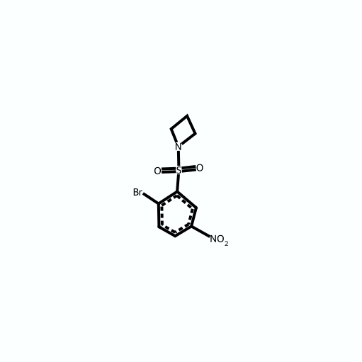 O=[N+]([O-])c1ccc(Br)c(S(=O)(=O)N2CCC2)c1